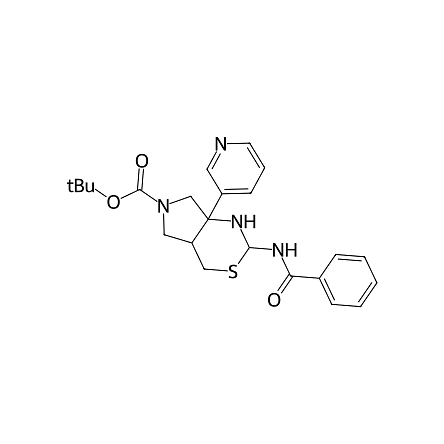 CC(C)(C)OC(=O)N1CC2CSC(NC(=O)c3ccccc3)NC2(c2cccnc2)C1